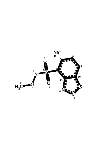 CO[N-]S(=O)(=O)c1cccc2snnc12.[Na+]